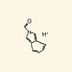 O=Cn1cc2ccccc2c1.[H+]